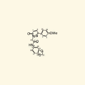 COc1ccc(-c2ccc(=O)n(CC(=O)Nc3ccc4c(c3)OCO4)n2)cc1